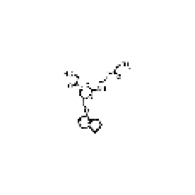 C=CC(=O)OCCNC(=O)OC(COC(=O)C=C)COc1cccc2ccccc12